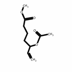 C=CC(CCCC(=O)OC)OC(C)=O